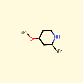 CCCO[C@H]1CCN[C@@H](CCC)C1